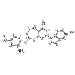 COc1ncc(CN2CCOc3c(Cl)cc(-n4ccc5cc(F)ccc54)cc3C2)c(N)n1